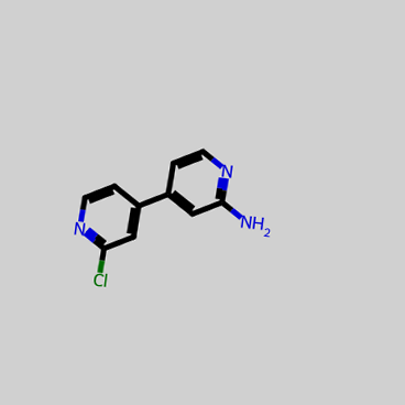 Nc1cc(-c2ccnc(Cl)c2)ccn1